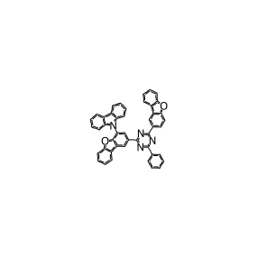 c1ccc(-c2nc(-c3ccc4oc5ccccc5c4c3)nc(-c3cc(-n4c5ccccc5c5ccccc54)c4oc5ccccc5c4c3)n2)cc1